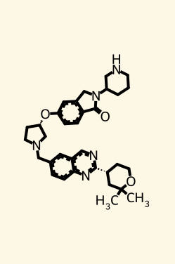 CC1(C)C[C@H](c2ncc3cc(CN4CC[C@H](Oc5ccc6c(c5)CN(C5CCCNC5)C6=O)C4)ccc3n2)CCO1